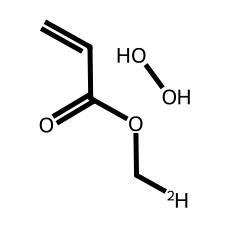 OO.[2H]COC(=O)C=C